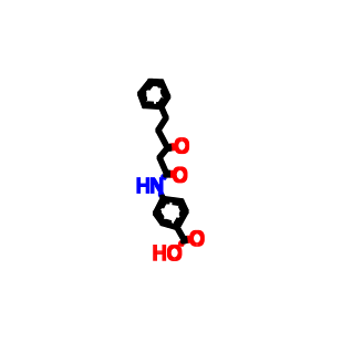 O=C(CCc1ccccc1)CC(=O)Nc1ccc(C(=O)O)cc1